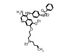 C=CCCN(CC)CCCOc1cc2ncc(N)c(Nc3ccc(NS(=O)(=O)c4ccccc4)cc3)c2cc1OCC